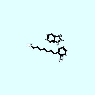 CCCCCCCCc1ccccc1O.c1ccc2[nH]nnc2c1